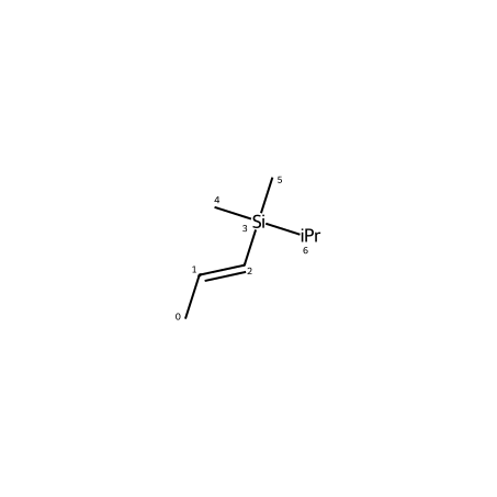 CC=C[Si](C)(C)C(C)C